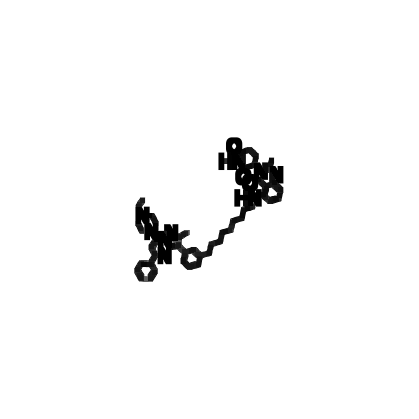 CCN1CCN(c2cc(-c3ccccc3)nc3c(-c4cccc(CCCCCCCCCNc5cccc6nc(C)n(C7CCC(=O)NC7=O)c(=O)c56)c4)c(C)nn23)CC1